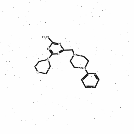 Nc1nc(CN2CCN(c3ccccc3)CC2)nc(N2CCOCC2)n1